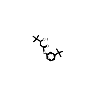 CC(C)(C)c1cccc(OC(=O)CC(O)C(C)(C)C)c1